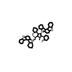 CC1C(c2ccccc2F)=C(n2c3ccccc3c3c4c(ccc32)sc2ccccc24)C(c2ccccc2F)=C1[C@H](C)Cn1c2ccccc2c2c3c(ccc21)sc1ccccc13